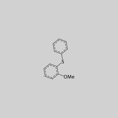 COc1c[c]ccc1Sc1ccccc1